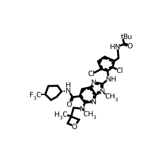 CN(CC1(C)COC1)c1nc2c(cc1C(=O)N[C@H]1CC[C@H](C(F)(F)F)CC1)nc(Nc1c(Cl)ccc(CNC(=O)C(C)(C)C)c1Cl)n2C